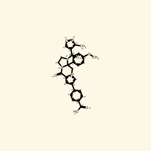 COc1ccc(C23Cn4cc(-c5ccc(C(=O)O)cc5)cc4C(=O)N2CCN3C(=O)c2conc2C)cc1